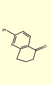 CC(C)c1ccc2c(n1)CCCC2=O